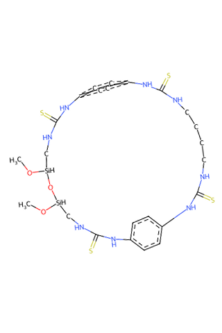 CO[SiH]1CNC(=S)Nc2ccc(cc2)NC(=S)NCCCCNC(=S)Nc2ccc(cc2)NC(=S)NC[SiH](OC)O1